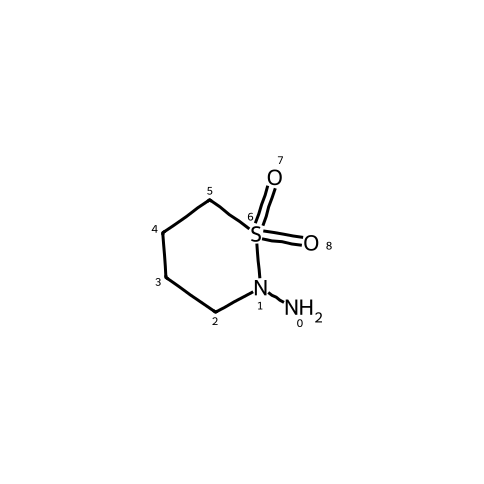 NN1CCCCS1(=O)=O